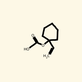 C=CC1(OC(=O)O)CCCCC1